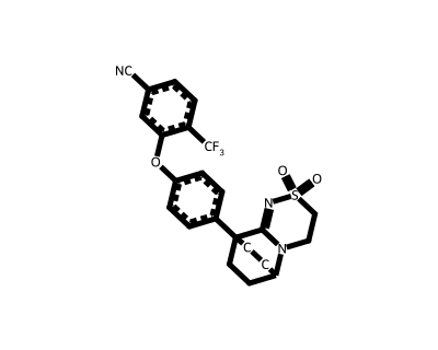 N#Cc1ccc(C(F)(F)F)c(Oc2ccc(C34CCC(CC3)N3CCS(=O)(=O)N=C34)cc2)c1